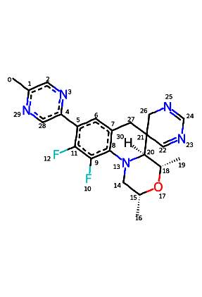 Cc1cnc(-c2cc3c(c(F)c2F)N2C[C@@H](C)O[C@@H](C)[C@@H]2C2(C=NC=NC2)C3)cn1